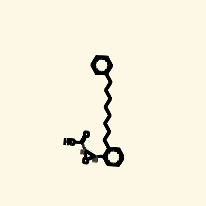 O=C(O)[C@H]1O[C@@H]1c1ccccc1CCCCCCCCc1ccccc1